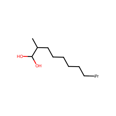 CC(C)CCCCCCC(C)C(O)O